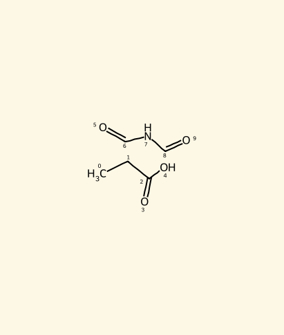 CCC(=O)O.O=CNC=O